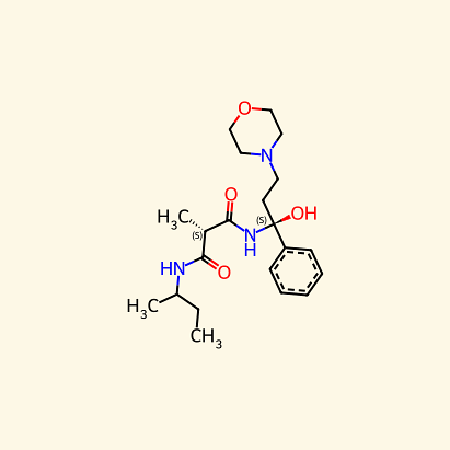 CCC(C)NC(=O)[C@H](C)C(=O)N[C@](O)(CCN1CCOCC1)c1ccccc1